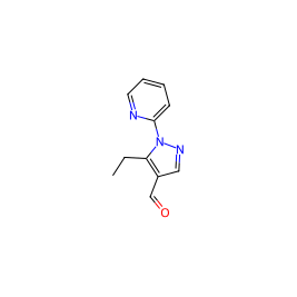 CCc1c(C=O)cnn1-c1ccccn1